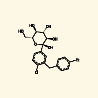 CCc1ccc(Cc2cc([C@]3(O)O[C@H](CO)[C@@H](O)[C@H](O)[C@H]3O)ccc2Cl)cc1